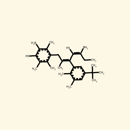 B/C(CC)=C(S)/C(=C(/C)Cc1c(C)c(B)c(S)c(C)c1C)c1cc(C(C)(C)C)cc(C)c1C